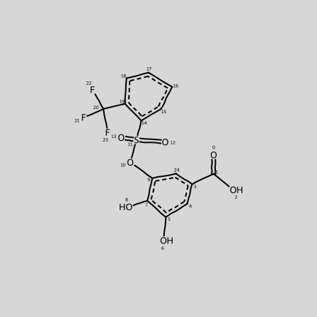 O=C(O)c1cc(O)c(O)c(OS(=O)(=O)c2ccccc2C(F)(F)F)c1